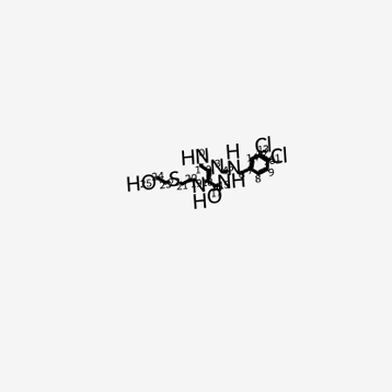 N=Cc1nc(NCc2ccc(Cl)c(Cl)c2)[nH]c(=O)c1NCCSCCO